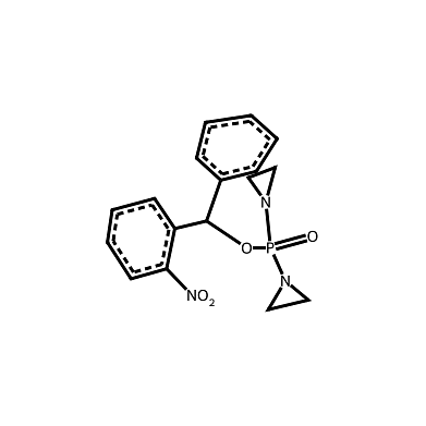 O=[N+]([O-])c1ccccc1C(OP(=O)(N1CC1)N1CC1)c1ccccc1